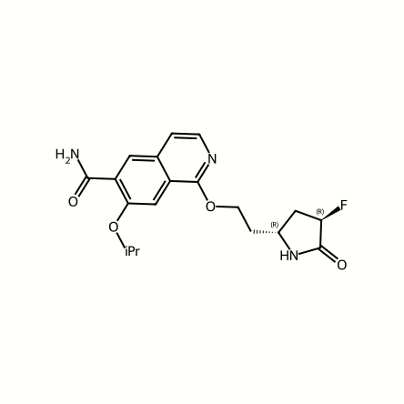 CC(C)Oc1cc2c(OCC[C@@H]3C[C@@H](F)C(=O)N3)nccc2cc1C(N)=O